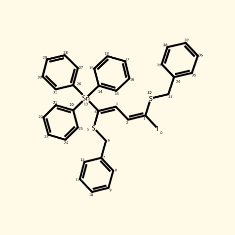 I/C(=C/C=[C](\SCc1ccccc1)[Sn]([c]1ccccc1)([c]1ccccc1)[c]1ccccc1)SCc1ccccc1